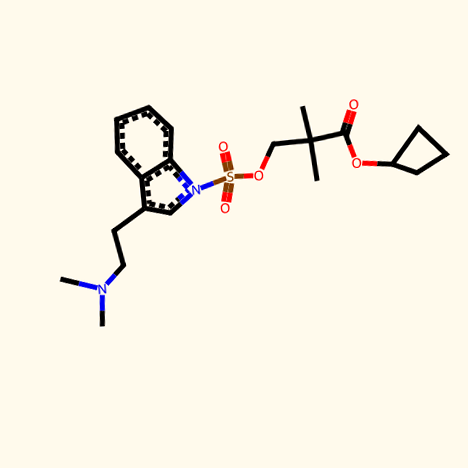 CN(C)CCc1cn(S(=O)(=O)OCC(C)(C)C(=O)OC2CCC2)c2ccccc12